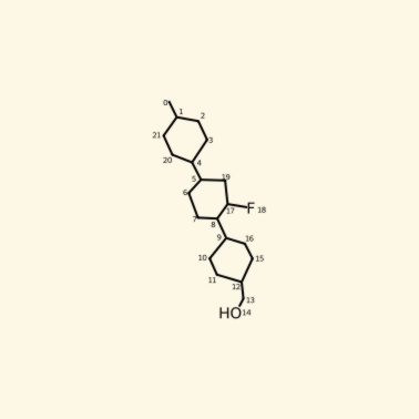 CC1CCC(C2CCC(C3CCC(CO)CC3)C(F)C2)CC1